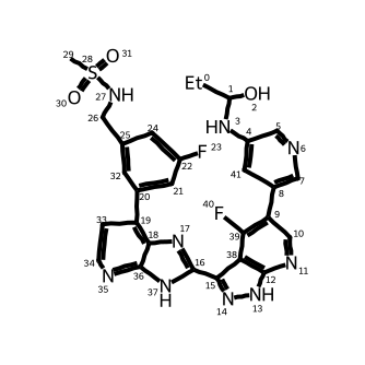 CCC(O)Nc1cncc(-c2cnc3[nH]nc(-c4nc5c(-c6cc(F)cc(CNS(C)(=O)=O)c6)ccnc5[nH]4)c3c2F)c1